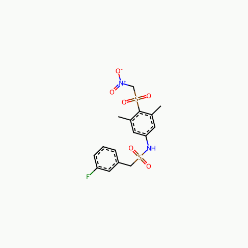 Cc1cc(NS(=O)(=O)Cc2cccc(F)c2)cc(C)c1S(=O)(=O)C[N+](=O)[O-]